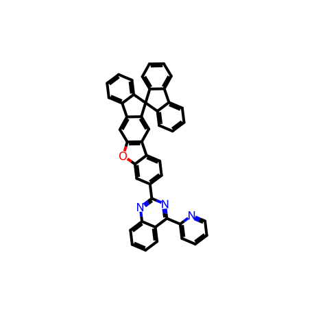 c1ccc(-c2nc(-c3ccc4c(c3)oc3cc5c(cc34)C3(c4ccccc4-c4ccccc43)c3ccccc3-5)nc3ccccc23)nc1